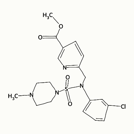 COC(=O)c1ccc(CN(c2cccc(Cl)c2)S(=O)(=O)N2CCN(C)CC2)nc1